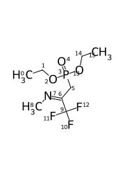 CCOP(=O)(C/C(=N/C)C(F)(F)F)OCC